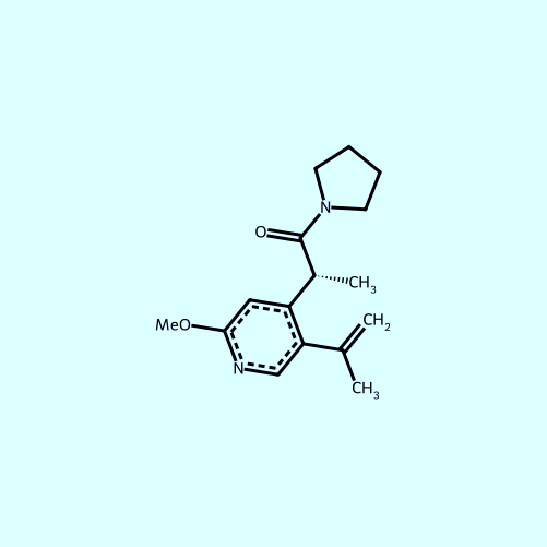 C=C(C)c1cnc(OC)cc1[C@@H](C)C(=O)N1CCCC1